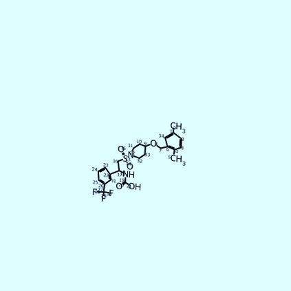 Cc1ccc(C)c(COC2CCN(S(=O)(=O)CC(NC(=O)O)c3cccc(C(F)(F)F)c3)CC2)c1